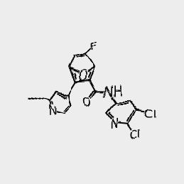 Cc1cc(-c2c(C(=O)Nc3cnc(Cl)c(Cl)c3)c3oc2cc3F)ccn1